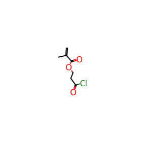 C=C(C)C(=O)OCCC(=O)Cl